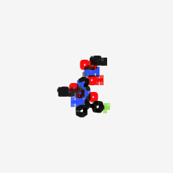 CC(C)(C)OC(=O)NC[C@H]1CN(C(=O)OC(C)(C)C)[C@H](CNC(=O)c2[nH]c3ccccc3c2-c2ccc(F)cc2)[C@@H]1O